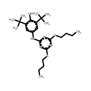 CCCCSc1nc(Nc2cc(C(C)(C)C)c(O)c(C(C)(C)C)c2)nc(SCCCC)n1